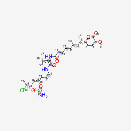 COC1=CC[C@@H]([C@@H](C)/C=C(C)/C=C/C=C/C(=O)N[C@H](C(=O)N/C=C\C[C@H](C/C=C(\C)Cl)OC(N)=O)C(C)(C)C)OC1=O